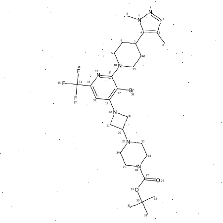 Cc1cnn(C)c1C1CCN(c2nc(C(F)(F)F)cc(N3CC(N4CCN(C(=O)OC(C)(C)C)CC4)C3)c2Br)CC1